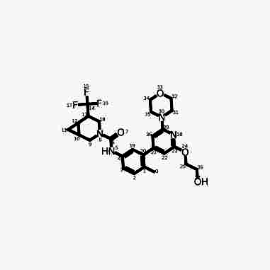 Cc1ccc(NC(=O)N2CC3CC3C(C(F)(F)F)C2)cc1-c1cc(OCCO)nc(N2CCOCC2)c1